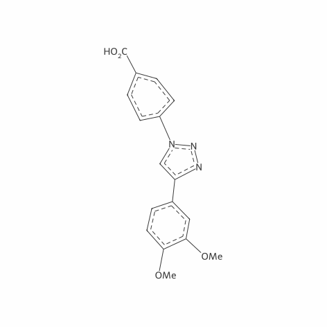 COc1ccc(-c2cn(-c3ccc(C(=O)O)cc3)nn2)cc1OC